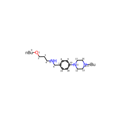 CCCCOCCCNCc1ccc(N2CCN(C(C)CC)CC2)cc1